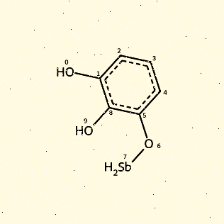 Oc1cccc([O][SbH2])c1O